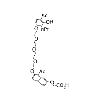 CCCc1c(OCCOCCOCCOCCOc2ccc3ccc(OCC(=O)O)cc3c2C(C)=O)ccc(C(C)=O)c1O